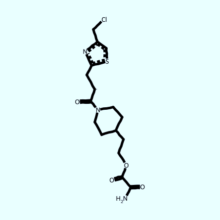 NC(=O)C(=O)OCCC1CCN(C(=O)[CH]Cc2nc(CCl)cs2)CC1